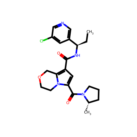 CC[C@@H](NC(=O)c1cc(C(=O)N2CCC[C@@H]2C)n2c1COCC2)c1cncc(Cl)c1